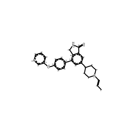 CC=CN1CCC(c2cc3c(c(-c4ccc(Oc5cccnc5)cc4)c2)CNC3=O)CC1